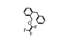 FC(F)=C(F)OCc1ccccc1Cc1ccccc1